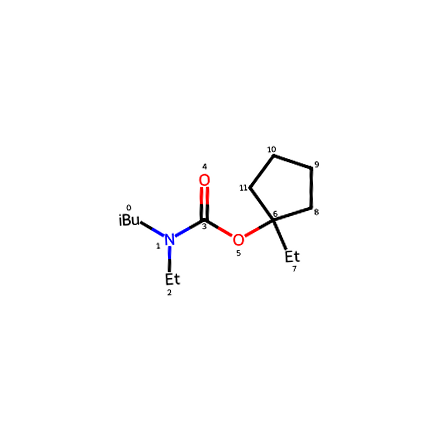 CCC(C)N(CC)C(=O)OC1(CC)CCCC1